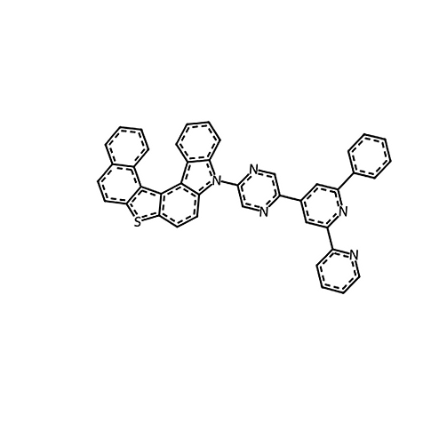 c1ccc(-c2cc(-c3cnc(-n4c5ccccc5c5c6c(ccc54)sc4ccc5ccccc5c46)cn3)cc(-c3ccccn3)n2)cc1